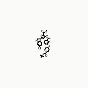 COC(=O)c1sc(-n2cnc3cc(Cl)ccc32)cc1OC(C)c1cccc(OC2CCN(C(=O)OC(C)(C)C)CC2)c1Cl